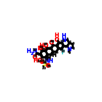 CN1CCC2CNc3c(O)c4c(c(F)c3C21)C[C@H]1C[C@H]2[C@H](NS(C)(=O)=O)C(O)=C(C(N)=O)C(=O)[C@@]2(O)C(O)=C1C4=O